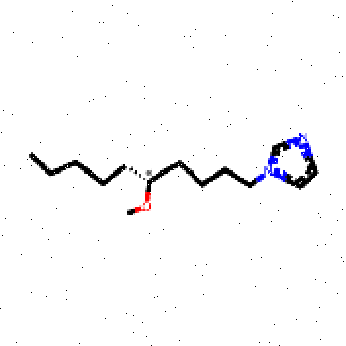 CCCCC[C@H](CCCCn1ccnc1)OC